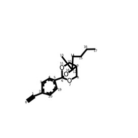 C#Cc1ccc(C23OCC(CO2)C(C)(CCCC)O3)cc1